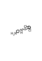 N[C@H]1CC[C@H](CNCCSCc2c(Cl)cccc2Cl)CC1